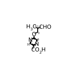 CC(C=O)COc1cnc(C(=O)O)cn1